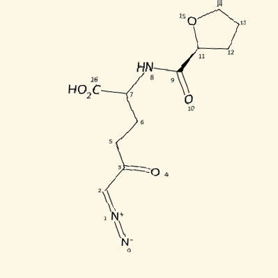 [N-]=[N+]=CC(=O)CCC(NC(=O)[C@@H]1CCCO1)C(=O)O